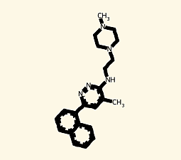 Cc1cc(-c2cccc3ccccc23)nnc1NCCN1CCN(C)CC1